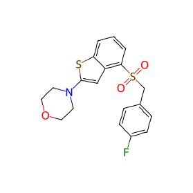 O=S(=O)(Cc1ccc(F)cc1)c1cccc2sc(N3CCOCC3)cc12